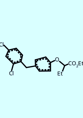 CCOC(=O)C(CC)Oc1ccc(Cc2ccc(Cl)cc2Cl)cc1